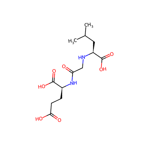 CC(C)C[C@H](NCC(=O)N[C@@H](CCC(=O)O)C(=O)O)C(=O)O